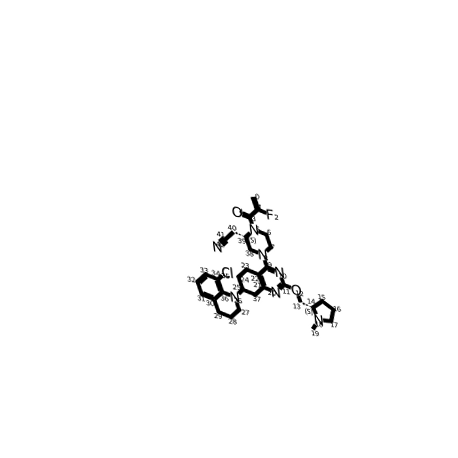 C=C(F)C(=O)N1CCN(c2nc(OC[C@@H]3CCCN3C)nc3c2CCC(N2CCCc4cccc(Cl)c42)C3)C[C@@H]1CC#N